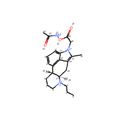 CCCN1CCC[C@@H]2c3cccc4c3c(c(C)n4CC(=O)ONC(C)=O)C[C@H]21